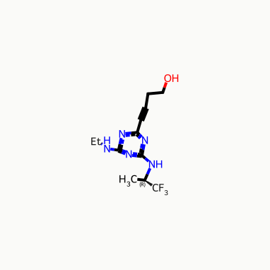 CCNc1nc(C#CCCO)nc(N[C@H](C)C(F)(F)F)n1